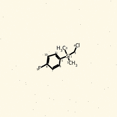 C[Si](C)(CCl)c1ccc(F)cc1